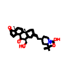 CC(C)(C)C1CC(CC=C2CC[C@]3(C)C4CC[C@]5(C)C(=O)CCC5C4C(=O)[C@H](CO)C3C2)CCN1C(=O)O